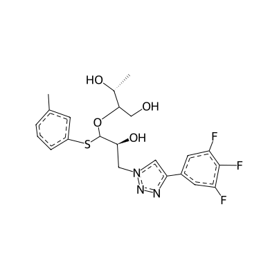 Cc1cccc(SC(OC(CO)[C@@H](C)O)[C@@H](O)Cn2cc(-c3cc(F)c(F)c(F)c3)nn2)c1